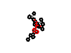 c1ccc(-c2nc(-c3ccc4c5c(cccc35)C35c6cccc7c(-c8ccccc8)ccc(c67)C43c3ccc(-n4c6ccccc6c6cc(-c7ccc8c(c7)c7ccccc7n8-c7ccccc7)ccc64)c4cccc5c34)nc(-n3c4ccccc4c4ccc5c6ccccc6n(-c6ccccc6)c5c43)n2)cc1